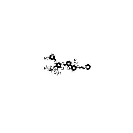 Cc1c(COc2cc(OCc3cncc(C#N)c3)c(CNC(C)(CO)C(=O)O)cc2Cl)cccc1-c1cccc(OCCCN2CCCCC2)c1C